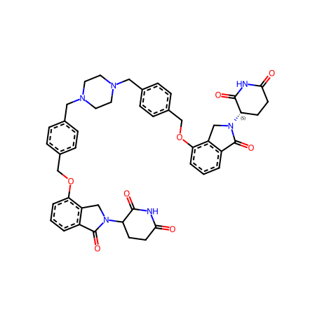 O=C1CCC(N2Cc3c(OCc4ccc(CN5CCN(Cc6ccc(COc7cccc8c7CN([C@H]7CCC(=O)NC7=O)C8=O)cc6)CC5)cc4)cccc3C2=O)C(=O)N1